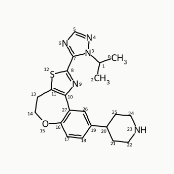 CC(C)n1ncnc1-c1nc2c(s1)CCOc1ccc(C3CCNCC3)cc1-2